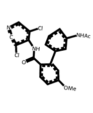 COc1ccc(C(=O)Nc2c(Cl)cncc2Cl)c(-c2cccc(NC(C)=O)c2)c1